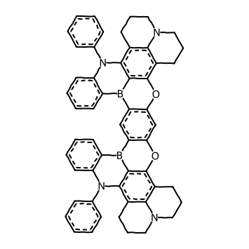 c1ccc(N2c3ccccc3B3c4cc5c(cc4Oc4c6c7c(c2c43)CCCN7CCC6)Oc2c3c4c(c6c2B5c2ccccc2N6c2ccccc2)CCCN4CCC3)cc1